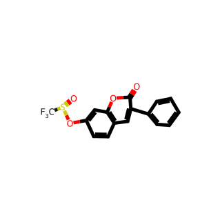 O=c1oc2cc(OS(=O)C(F)(F)F)ccc2cc1-c1ccccc1